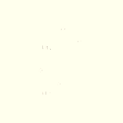 COC(=O)C=C1NCCOC1=O